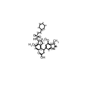 COc1cc(C(CC(=O)O)c2ccc(C)c3c2CCC3NS(=O)(=O)CCC2CCCCC2)cc2nnn(C)c12